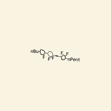 CCCCCc1ccc(C#CC2CCC(c3ccc(CCCC)cc3F)CC2(F)F)c(F)c1F